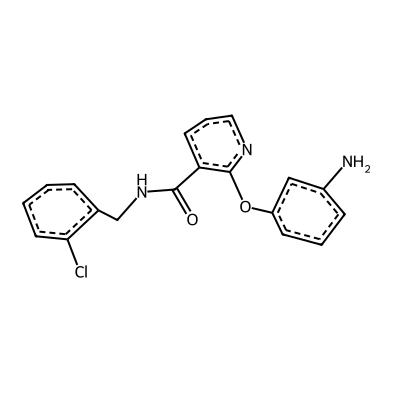 Nc1cccc(Oc2ncccc2C(=O)NCc2ccccc2Cl)c1